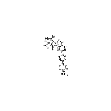 CN1CCN(c2ccc(-c3cc4c(cn3)CCc3c-4[nH]c4c3C(=O)NCC43CC3)cn2)CC1